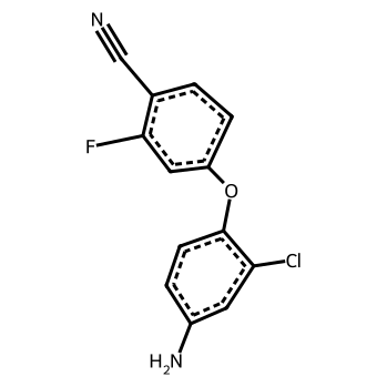 N#Cc1ccc(Oc2ccc(N)cc2Cl)cc1F